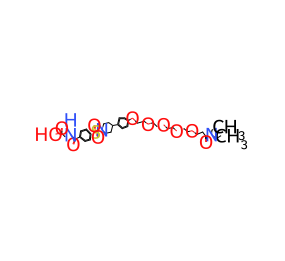 CCN(CC)C(=O)CCOCCOCCOCCOCCOc1ccc(C2CCN(S(=O)(=O)c3ccc(C(=O)NCC(=O)O)cc3)CC2)cc1